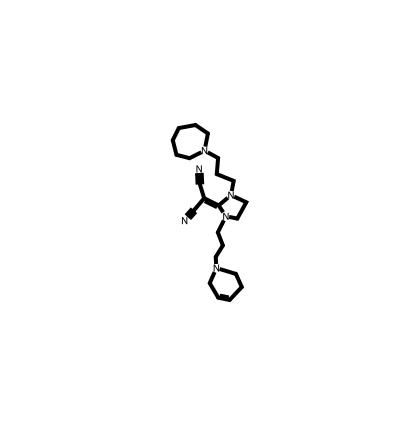 N#CC(C#N)=C1N(CCCN2CC=CCC2)CCN1CCCN1CCCCCC1